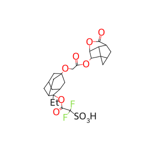 CCC1(OC(=O)C(F)(F)S(=O)(=O)O)C2CC3CC1CC(OCC(=O)OC1C4OC(=O)C5CC6CC61C54)(C3)C2